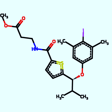 COC(=O)CCNC(=O)c1ccc([C@H](Oc2cc(C)c(I)c(C)c2)C(C)C)s1